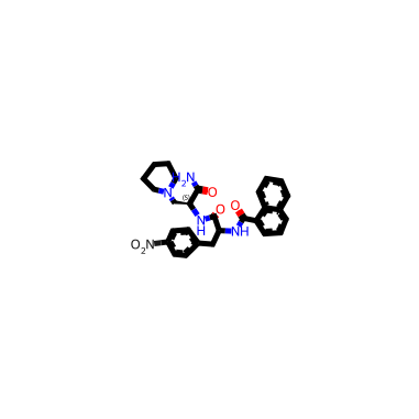 NC(=O)[C@H](CN1CCCCC1)NC(=O)C(Cc1ccc([N+](=O)[O-])cc1)NC(=O)c1cccc2ccccc12